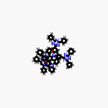 c1ccc(-c2cc(-c3ccccc3)nc(-c3cc(-c4ccccc4-n4c5ccccc5c5ccccc54)c(-n4c5ccc(-c6nc(-c7ccccc7)nc(-c7ccccc7)n6)cc5c5cc(-c6nc(-c7ccccc7)nc(-c7ccccc7)n6)ccc54)c(-c4ccccc4-n4c5ccccc5c5ccccc54)c3)n2)cc1